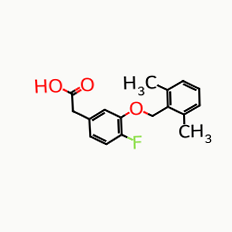 Cc1cccc(C)c1COc1cc(CC(=O)O)ccc1F